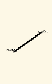 CCCCCCCCOC(=O)CCCCCCCCCCCCCCCCCCCCCCCC(=O)OCCCCCCCC